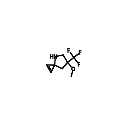 COC1(C(F)(F)F)CNC2(C=C2)C1